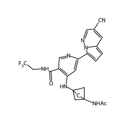 CC(=O)NC12CC(Nc3cc(-c4ccc5cc(C#N)cnn45)ncc3C(=O)NCC(F)(F)F)(C1)C2